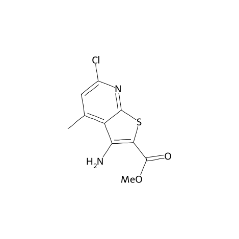 COC(=O)c1sc2nc(Cl)cc(C)c2c1N